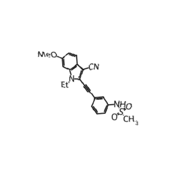 CCn1c(C#Cc2cccc(NS(C)(=O)=O)c2)c(C#N)c2ccc(OC)cc21